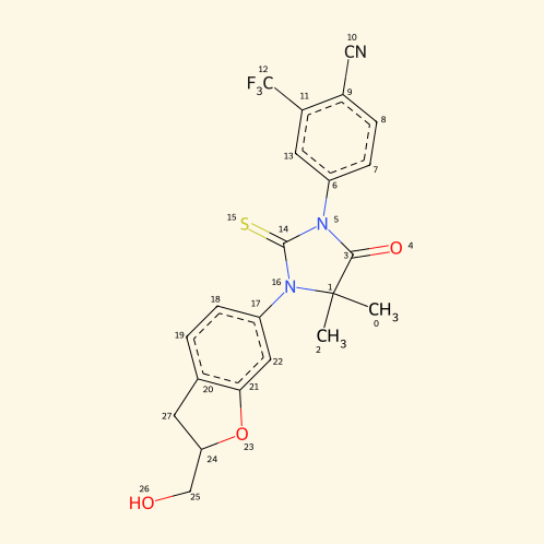 CC1(C)C(=O)N(c2ccc(C#N)c(C(F)(F)F)c2)C(=S)N1c1ccc2c(c1)OC(CO)C2